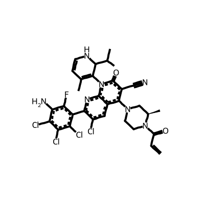 C=CC(=O)N1CCN(c2c(C#N)c(=O)n(C3=C(C)C=CNC3C(C)C)c3nc(-c4c(F)c(N)c(Cl)c(Cl)c4Cl)c(Cl)cc23)C[C@H]1C